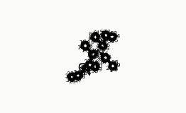 c1ccc(-c2ccc(N(c3cc(-c4ccccc4)cc(-c4cc5oc(-c6ccc7ccccc7c6)nc5c5ccccc45)c3)c3ccc(-c4cccc5ccccc45)c(-c4ccccc4)c3)cc2)cc1